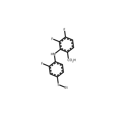 CCSc1ccc(Nc2c(C(=O)O)ccc(F)c2F)c(F)c1